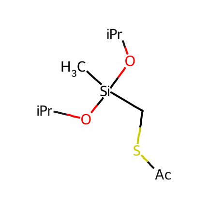 CC(=O)SC[Si](C)(OC(C)C)OC(C)C